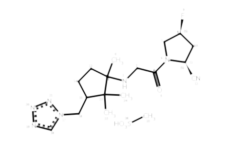 CC1(NCC(=O)N2C[C@@H](F)C[C@H]2C#N)CCC(Cn2cnnn2)C1(C)C.CS(=O)(=O)O